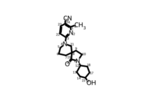 Cc1nc(N2CCCC3(CCN(C4CCC(O)CC4)C3=O)C2)ccc1C#N